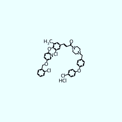 Cc1cc(C=CC(=O)N2CCN(Cc3ccc(Oc4ccc(Cl)cc4)cc3)CC2)cc(Cl)c1Oc1ccc(OCc2ccccc2Cl)cn1.Cl